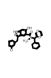 CN(C(=O)c1cc2c(Cc3cccc(Cl)c3)n[nH]c2cc1O)C(C1=CC=CCC1)C1=COC=CO1